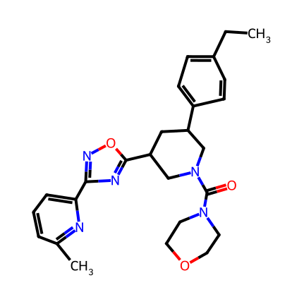 CCc1ccc(C2CC(c3nc(-c4cccc(C)n4)no3)CN(C(=O)N3CCOCC3)C2)cc1